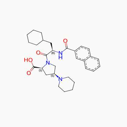 O=C(N[C@H](CC1CCCCC1)C(=O)N1C[C@@H](N2CCCCC2)C[C@H]1C(=O)O)c1ccc2ccccc2c1